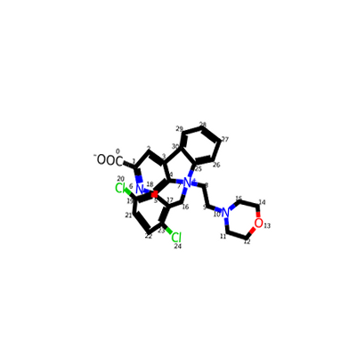 O=C([O-])c1cc2c(cn1)[N+](CCN1CCOCC1)(Cc1cc(Cl)ccc1Cl)c1ccccc1-2